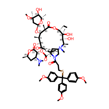 CC[C@H]1OC(=O)[C@H](C)[C@@H](O[C@H]2C[C@@](C)(OC)[C@@H](O)[C@H](C)O2)[C@H](C)[C@@H](O[C@@H]2O[C@H](C)C[C@H](N(C)C)[C@H]2OC(=O)[C@@H]2CCCN2C(=O)CCSC(c2ccc(OC)cc2)(c2ccc(OC)cc2)c2ccc(OC)cc2)[C@](C)(O)C[C@@H](C)CN(C)[C@H](C)[C@@H](O)[C@]1(C)O